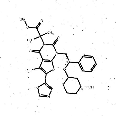 Cc1c(-c2cnco2)sc2c1c(=O)n(C(C)(C)C(=O)OC(C)(C)C)c(=O)n2C[C@H](OC1CCC[C@@H](O)C1)c1ccccc1